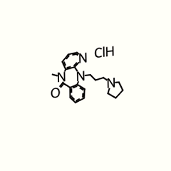 CN1C(=O)c2ccccc2N(CCCN2CCCC2)c2ncccc21.Cl